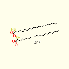 CCCCCCCCCCCCCCCCCCC(S)C(=O)[O-].CCCCCCCCCCCCCCCCCCC(S)C(=O)[O-].[Zn+2]